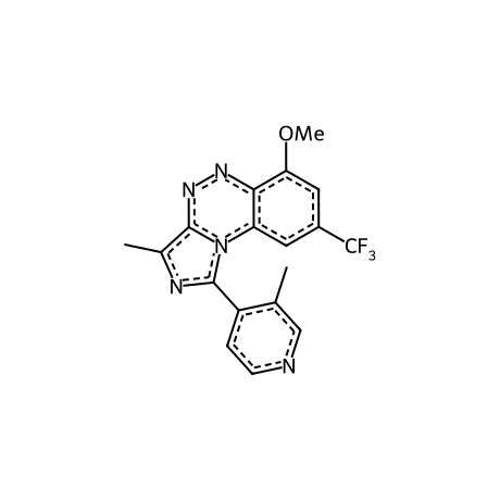 COc1cc(C(F)(F)F)cc2c1nnc1c(C)nc(-c3ccncc3C)n12